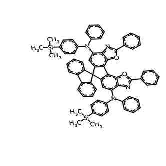 C[Si](C)(C)c1ccc(N(c2ccccc2)c2cc3c(c4oc(-c5ccccc5)nc24)-c2c(cc(N(c4ccccc4)c4ccc([Si](C)(C)C)cc4)c4nc(-c5ccccc5)oc24)C32c3ccccc3-c3ccccc32)cc1